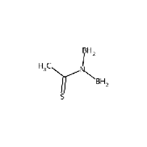 BN(B)C(C)=S